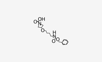 O=C(NCCCCOC1CN(C(=O)O)C1)OCc1ccccc1